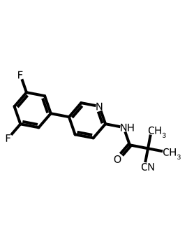 CC(C)(C#N)C(=O)Nc1ccc(-c2cc(F)cc(F)c2)cn1